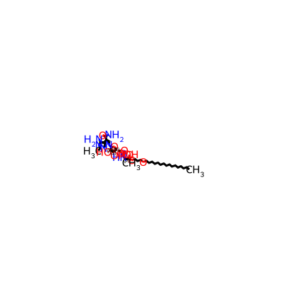 CCCCCCCCCCCCCCCCOCCCOC(=O)[C@H](C)NP(=O)(O)OC[C@H]1OC(n2cc(C(N)=O)c3c(N)nc(C)nc32)[C@H](O)[C@@H]1O